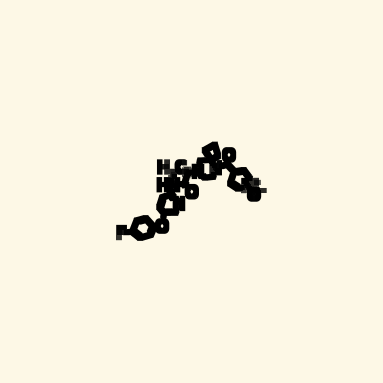 C[C@H](C(=O)Nc1ccc(Oc2ccc(F)cc2)cn1)N1CCN(C(=O)c2cc[n+]([O-])cc2)C2(CCC2)C1